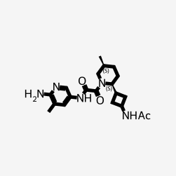 CC(=O)NC1CC([C@@H]2CC[C@H](C)CN2C(=O)C(=O)Nc2cnc(N)c(C)c2)C1